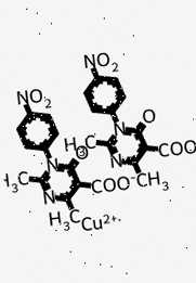 Cc1nc(C)n(-c2ccc([N+](=O)[O-])cc2)c(=O)c1C(=O)[O-].Cc1nc(C)n(-c2ccc([N+](=O)[O-])cc2)c(=O)c1C(=O)[O-].[Cu+2]